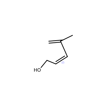 C=C(C)/C=C\CO